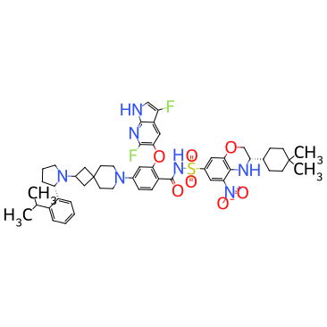 CC(C)c1ccccc1[C@@H]1CCCN1C1CC2(CCN(c3ccc(C(=O)NS(=O)(=O)c4cc5c(c([N+](=O)[O-])c4)N[C@@H](C4CCC(C)(C)CC4)CO5)c(Oc4cc5c(F)c[nH]c5nc4F)c3)CC2)C1